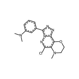 CN(C)c1cccc(-c2nnc3c4c(c(Cl)nn23)N(C)CCO4)c1